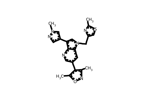 Cc1nc(Cn2cc(-c3cnn(C)c3)c3ncc(-c4c(C)noc4C)cc32)cs1